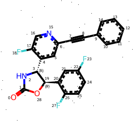 O=C1N[C@H](c2cc(C#Cc3ccccc3)ncc2F)[C@@H](c2cc(F)ccc2F)O1